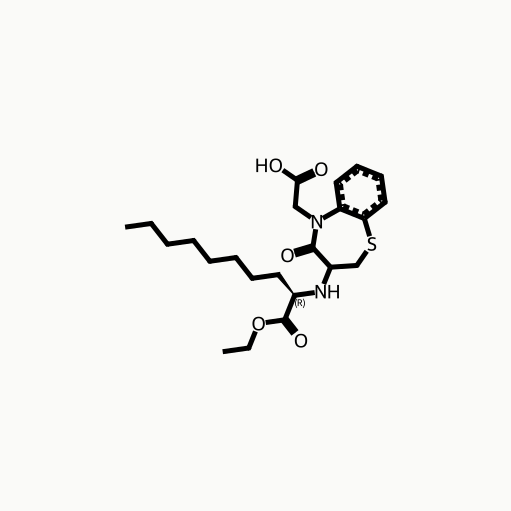 CCCCCCCC[C@@H](NC1CSc2ccccc2N(CC(=O)O)C1=O)C(=O)OCC